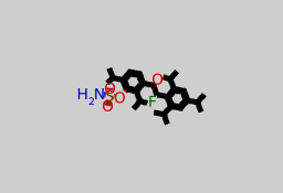 CC(C)c1cc(C(C)C)c(C(F)C(=O)c2ccc(C(C)C)c(OS(N)(=O)=O)c2C(C)C)c(C(C)C)c1